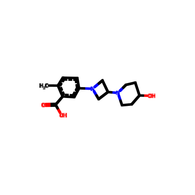 Cc1ccc(N2CC(N3CCC(O)CC3)C2)cc1C(=O)O